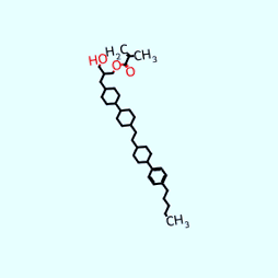 C=C(C)C(=O)OCC(CO)CC1CCC(C2CCC(CCC3CCC(c4ccc(CCCCC)cc4)CC3)CC2)CC1